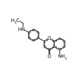 CCNc1ccc(-c2cc(=O)c3c(N)cccc3o2)cc1